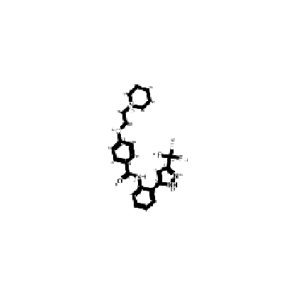 O=C(Nc1ccccc1-c1cc(C(F)(F)F)n[nH]1)c1ccc(OCCN2CCCCC2)cc1